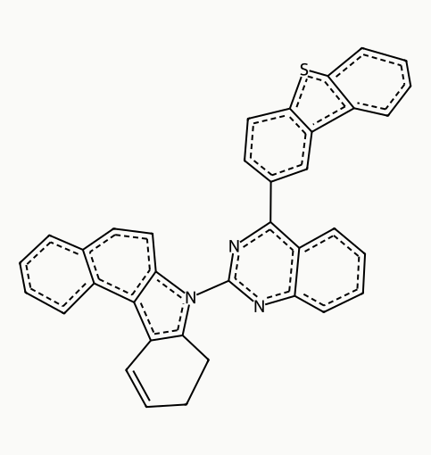 C1=Cc2c(n(-c3nc(-c4ccc5sc6ccccc6c5c4)c4ccccc4n3)c3ccc4ccccc4c23)CC1